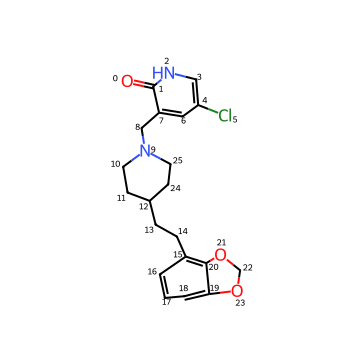 O=c1[nH]cc(Cl)cc1CN1CCC(CCc2cccc3c2OCO3)CC1